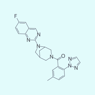 Cc1ccc(-n2nccn2)c(C(=O)N2CC3CC(C2)N(c2ncc4cc(F)ccc4n2)C3)c1